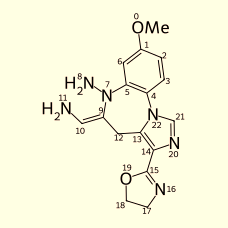 COc1ccc2c(c1)N(N)/C(=C\N)Cc1c(C3=NCCO3)ncn1-2